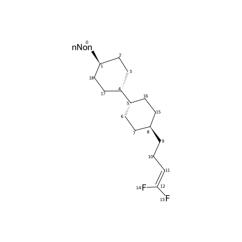 CCCCCCCCC[C@H]1CC[C@H]([C@H]2CC[C@H](CCC=C(F)F)CC2)CC1